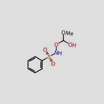 COC(O)ONS(=O)(=O)c1ccccc1